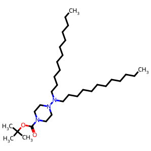 CCCCCCCCCCCCN(CCCCCCCCCCCC)N1CCN(C(=O)OC(C)(C)C)CC1